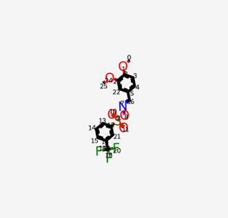 COc1ccc([C]=NOS(=O)(=O)c2cccc(C(F)(F)F)c2)cc1OC